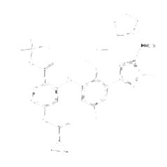 BC(B)(B)NC(=O)c1nnc(NC(=O)C2CC2)cc1Nc1cc(F)cc(-c2cc(C(=O)N3CCC[C@H]3CO)n(C)n2)c1OC